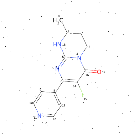 CC1CCn2c(nc(-c3ccncc3)c(F)c2=O)N1